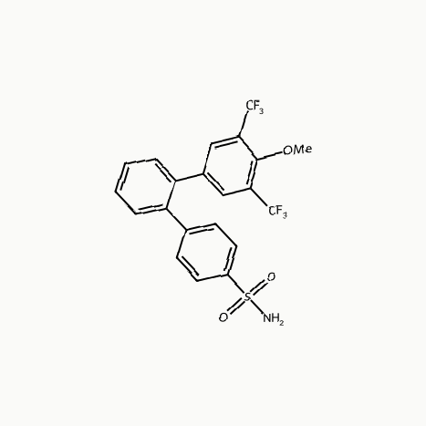 COc1c(C(F)(F)F)cc(-c2ccccc2-c2ccc(S(N)(=O)=O)cc2)cc1C(F)(F)F